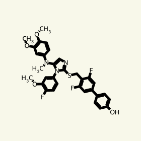 COc1cc(-n2c(N(C)c3ccc(OC)c(OC)c3)cnc2SCc2c(F)cc(-c3ccc(O)cc3)cc2F)ccc1F